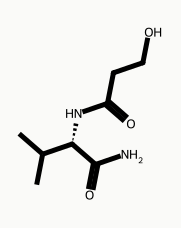 CC(C)[C@H](NC(=O)CCO)C(N)=O